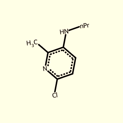 CCCNc1ccc(Cl)nc1C